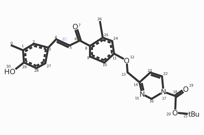 Cc1cc(/C=C/C(=O)c2ccc(OCC3=NCN(C(=O)OC(C)(C)C)C=C3)cc2C)ccc1O